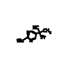 CC(C)C(C)(C#N)c1cnc(C(C)(C)C)nc1